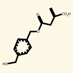 C=C(CC(=O)OCc1ccc(CO)cc1)C(=O)O